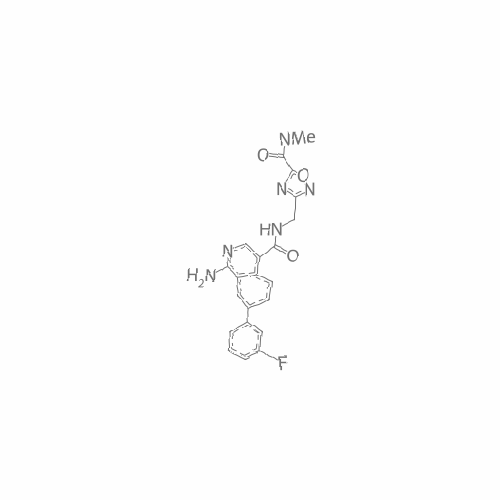 CNC(=O)c1nc(CNC(=O)c2cnc(N)c3cc(-c4cccc(F)c4)ccc23)no1